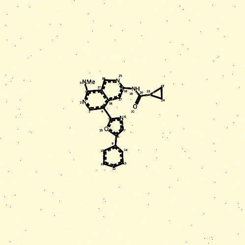 CNc1ncc(-c2ncc(-c3ccccc3)o2)c2cc(NC(=O)C3CC3)ncc12